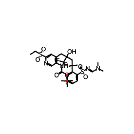 CCS(=O)(=O)c1cc(CC(O)(CC(C)(C)c2ccccc2S(=O)(=O)/N=C/N(C)C)C(F)(F)F)c(NC(=O)OC(C)(C)C)cn1